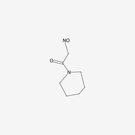 O=NCC(=O)N1CCCCC1